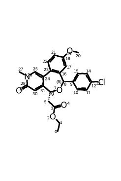 CCOC(=O)C[C@H]1O[C@H](c2ccc(Cl)cc2)c2cc(OC)ccc2-c2cn(C)c(=O)cc21